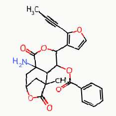 CC#Cc1occc1C1OC(=O)C2(N)CC3CC(C)(C(=O)O3)C2C1OC(=O)c1ccccc1